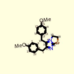 COc1ccc(Cc2nc3n(c2Cc2ccc(OC)cc2)CCS3)cc1